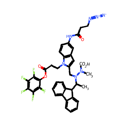 CC(C1c2ccccc2-c2ccccc21)N(Cc1cc2cc(NC(=O)CCN=[N+]=[N-])ccc2n1CCC(=O)Oc1c(F)c(F)c(F)c(F)c1F)N(C)C(=O)O